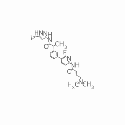 CC(C(=O)Nc1cc(C2CC2)[nH]n1)c1cccc(-c2ccc(NC(=O)C=CCN(C)C)nc2F)c1